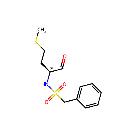 CSCC[C@@H]([C]=O)NS(=O)(=O)Cc1ccccc1